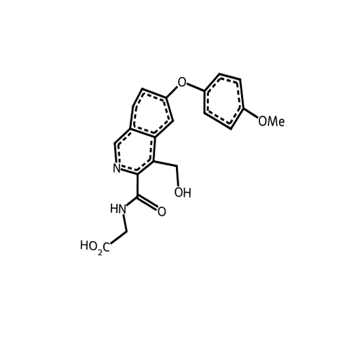 COc1ccc(Oc2ccc3cnc(C(=O)NCC(=O)O)c(CO)c3c2)cc1